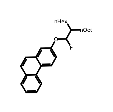 CCCCCCCCC(CCCCCC)C(F)Oc1ccc2c(ccc3ccccc32)c1